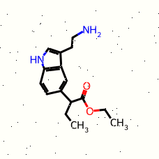 CCOC(=O)C(CC)c1ccc2[nH]cc(CCN)c2c1